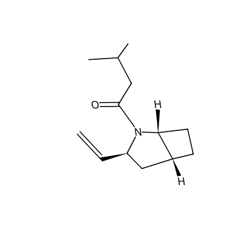 C=C[C@@H]1C[C@H]2CC[C@H]2N1C(=O)CC(C)C